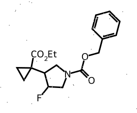 CCOC(=O)C1(C2CN(C(=O)OCc3ccccc3)CC2F)CC1